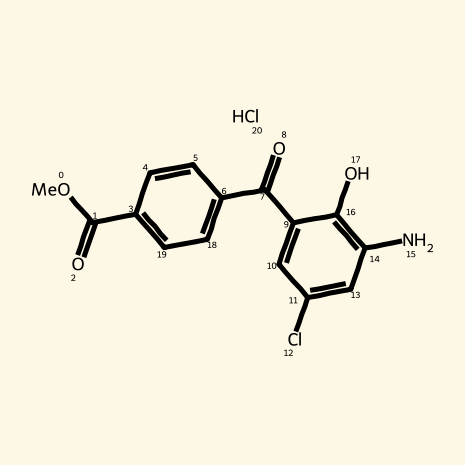 COC(=O)c1ccc(C(=O)c2cc(Cl)cc(N)c2O)cc1.Cl